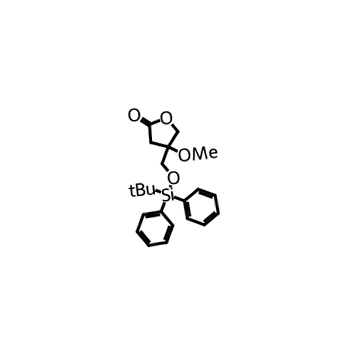 COC1(CO[Si](c2ccccc2)(c2ccccc2)C(C)(C)C)COC(=O)C1